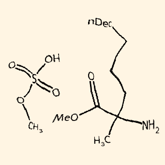 CCCCCCCCCCCCCC(C)(N)C(=O)OC.COS(=O)(=O)O